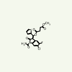 COC(=O)CCC(=O)OC(=C1C(=O)N(C(N)=O)c2cc(Cl)c(F)cc21)c1cccs1